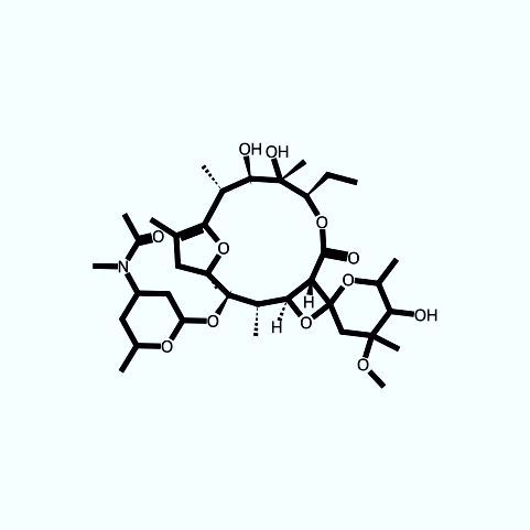 CC[C@H]1OC(=O)[C@H]2[C@@H](OC23CC(C)(OC)C(O)C(C)O3)[C@H](C)[C@@H](OC2CC(N(C)C(C)=O)CC(C)O2)[C@@]2(C)CC(C)=C(O2)[C@H](C)[C@@H](O)[C@]1(C)O